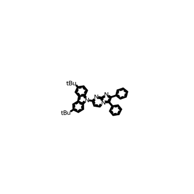 CC(C)(C)c1ccc2c(c1)c1cc(C(C)(C)C)ccc1n2-c1ccn2c(-c3ccccc3)c(-c3ccccc3)nc2n1